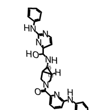 O=C(c1cccc(Nc2ccccc2)n1)N1CC2[C@@H](C1)[C@@H]2NC(O)c1ccnc(Nc2ccccc2)n1